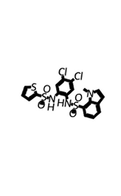 Cn1ccc2cccc(S(=O)(=O)Nc3cc(Cl)c(Cl)cc3NS(=O)(=O)c3cccs3)c21